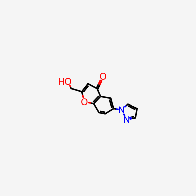 O=c1cc(CO)oc2ccc(-n3cccn3)cc12